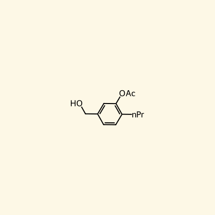 CCCc1ccc(CO)cc1OC(C)=O